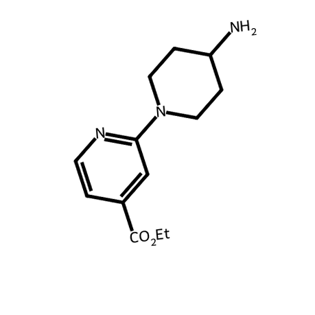 CCOC(=O)c1ccnc(N2CCC(N)CC2)c1